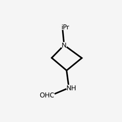 CC(C)N1CC(NC=O)C1